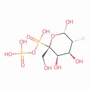 O=P(O)(O)OP(=O)(O)[C@]1(CO)O[C@H](O)[C@H](F)[C@@H](O)[C@H]1O